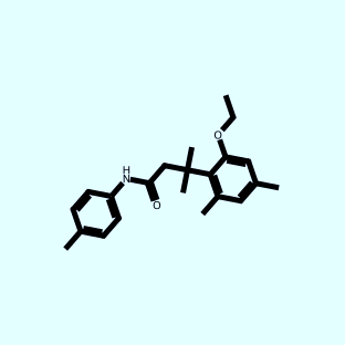 CCOc1cc(C)cc(C)c1C(C)(C)CC(=O)Nc1ccc(C)cc1